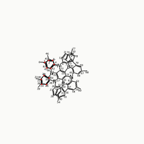 Cc1ccc(N(C2=CCC(C)C=C2)c2c3c4c(c(N(c5ccc(C)cc5)c5ccc(C)cc5)c2N(c2ccc(C)cc2)c2ccc(C)cc2)B2c5ccc(C)cc5-c5cc(C)cc(c52)N4c2cc(C)cc4c2B3c2ccc(C)cc2-4)cc1